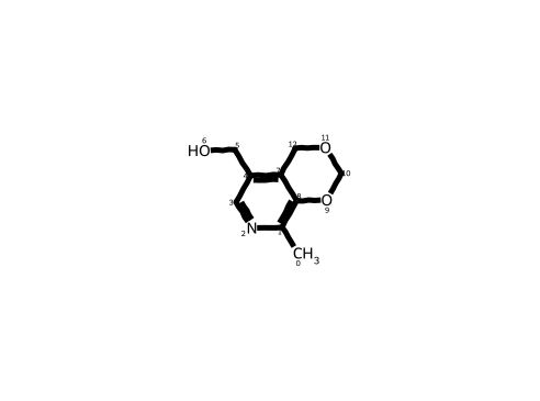 Cc1ncc(CO)c2c1OCOC2